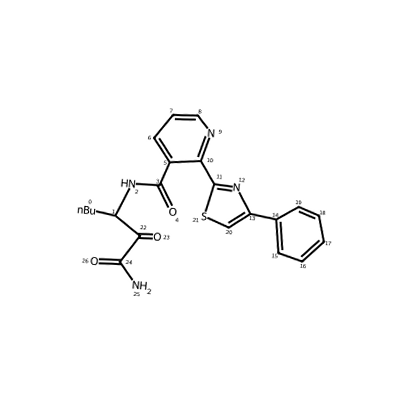 CCCCC(NC(=O)c1cccnc1-c1nc(-c2ccccc2)cs1)C(=O)C(N)=O